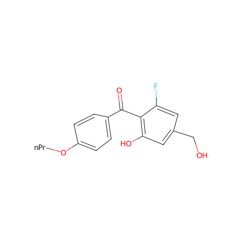 CCCOc1ccc(C(=O)c2c(O)cc(CO)cc2F)cc1